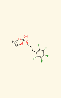 CO[Si](O)(OC)OCCCc1c(F)c(F)c(F)c(F)c1F